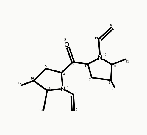 C=CN1C(C(=O)C2CC(C)C(C)N2C=C)CC(C)C1C